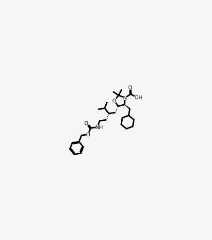 CC(C)[C@@H](CCNC(=O)OCc1ccccc1)C[C@@H]1OC(C)(C)N(C(=O)O)[C@H]1CC1CCCCC1